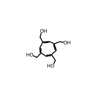 OCC1=CC(CO)=CC(CO)=CC(CO)=C1